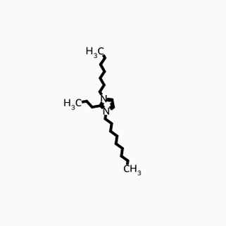 CCCCCCCCC[n+]1ccn(CCCCCCC)c1CCC